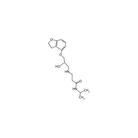 CC(C)NC(=O)CCNCC(O)COc1cccc2c1CCO2